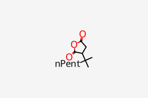 CCCCCC(C)(C)C1CC(=O)OC1=O